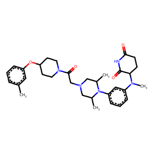 Cc1cccc(OC2CCN(C(=O)CN3CC(C)N(c4cccc(N(C)C5CCC(=O)NC5=O)c4)C(C)C3)CC2)c1